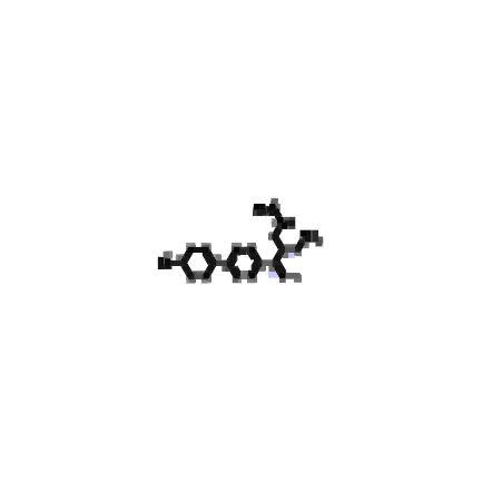 C/C=C(\C(=C\N)CNNC)c1ccc(C2=CCC(CC)C=C2)cc1